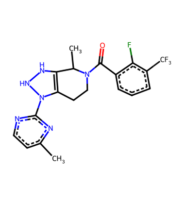 Cc1ccnc(N2NNC3=C2CCN(C(=O)c2cccc(C(F)(F)F)c2F)C3C)n1